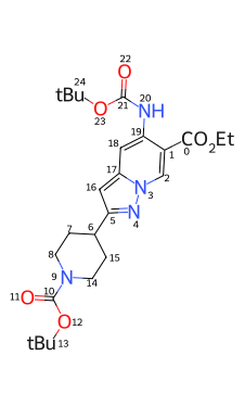 CCOC(=O)c1cn2nc(C3CCN(C(=O)OC(C)(C)C)CC3)cc2cc1NC(=O)OC(C)(C)C